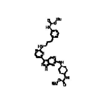 CC(C)(C)OC(=O)Nc1cccc(CCCNc2nccc(-c3n[nH]c4nc(NC5CCC(NC(=O)OC(C)(C)C)CC5)ncc34)n2)c1